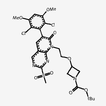 COc1cc(OC)c(Cl)c(-c2cc3cnc(S(C)(=O)=O)nc3n(CCOC3CN(C(=O)OC(C)(C)C)C3)c2=O)c1Cl